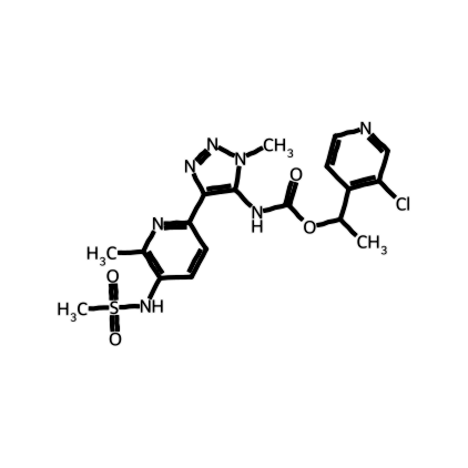 Cc1nc(-c2nnn(C)c2NC(=O)OC(C)c2ccncc2Cl)ccc1NS(C)(=O)=O